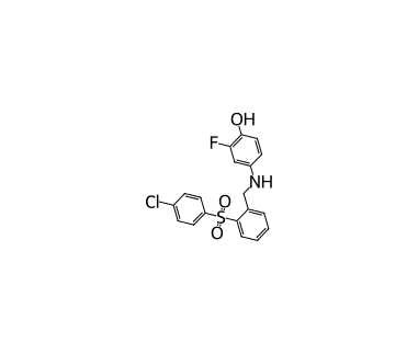 O=S(=O)(c1ccc(Cl)cc1)c1ccccc1CNc1ccc(O)c(F)c1